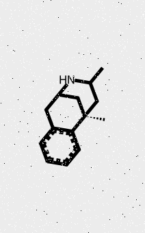 CC1C[C@]2(C)CC(Cc3ccccc32)N1